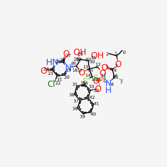 CC(C)OC(=O)[C@H](C)NP(=O)(OC[C@@]1(C(F)F)O[C@@H](n2cc(Cl)c(=O)[nH]c2=O)[C@H](O)[C@@H]1O)Oc1cccc2ccccc12